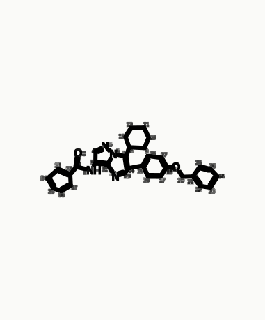 O=C(Nc1cnn2c(C3CCCCC3)c(-c3ccc(OCc4ccccc4)cc3)cnc12)c1ccccc1